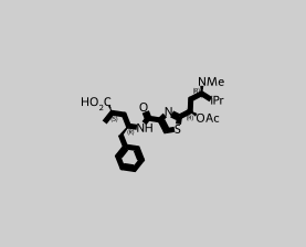 CN[C@H](C[C@@H](OC(C)=O)c1nc(C(=O)N[C@@H](Cc2ccccc2)C[C@H](C)C(=O)O)cs1)C(C)C